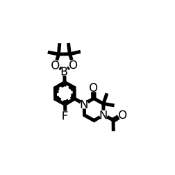 CC(=O)N1CCN(c2cc(B3OC(C)(C)C(C)(C)O3)ccc2F)C(=O)C1(C)C